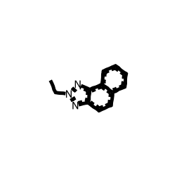 CCn1nc2ccc3ccccc3c2n1